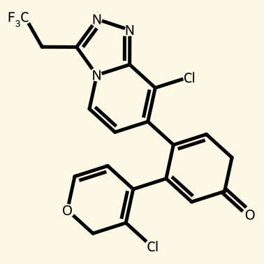 O=C1C=C(C2=C(Cl)COC=C2)C(c2ccn3c(CC(F)(F)F)nnc3c2Cl)=CC1